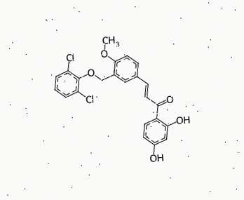 COc1ccc(/C=C/C(=O)c2ccc(O)cc2O)cc1COc1c(Cl)cccc1Cl